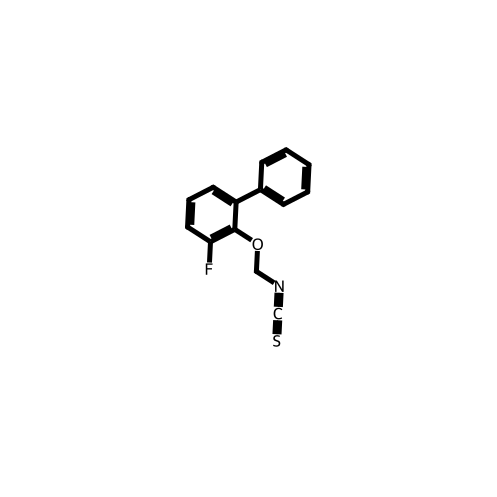 Fc1cccc(-c2ccccc2)c1OCN=C=S